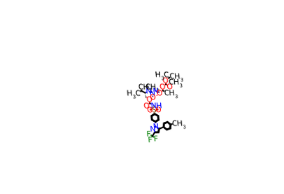 Cc1ccc(-c2cc(C(F)(F)F)nn2-c2ccc(S(=O)(=O)NC(=O)OC[C@H](C(C)C)N(C)/[N+]([O-])=N/OC(C)OC(=O)OC(C)(C)C)cc2)cc1